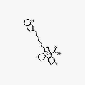 CC1(c2ccc(F)cc2C(C(=O)O)N2CC(OCCCCCc3ccc4c(n3)NCCC4)C2)CCOCC1